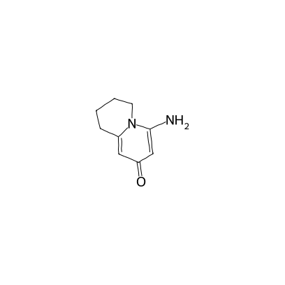 Nc1cc(=O)cc2n1CCCC2